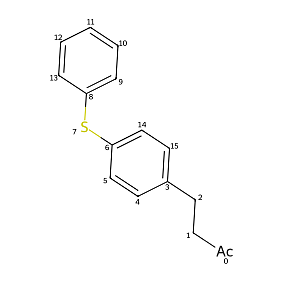 CC(=O)CCc1ccc(Sc2ccccc2)cc1